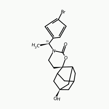 C[C@@H](c1ccc(Br)cc1)N1CC[C@]2(OC1=O)C1CC3CC2C[C@](O)(C3)C1